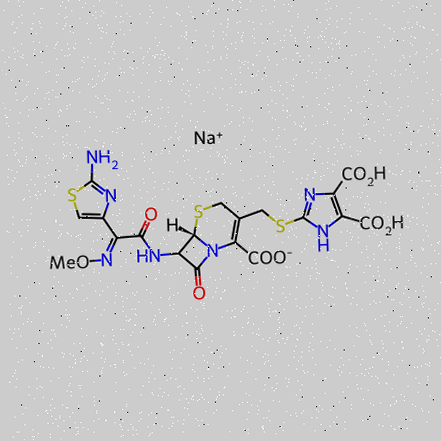 CON=C(C(=O)NC1C(=O)N2C(C(=O)[O-])=C(CSc3nc(C(=O)O)c(C(=O)O)[nH]3)CS[C@@H]12)c1csc(N)n1.[Na+]